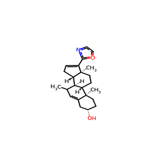 CC1C=C2C[C@@H](O)CC[C@]2(C)[C@H]2CC[C@]3(C)C(c4ncco4)=CC[C@H]3[C@H]12